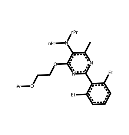 CCCN(CCC)c1c(C)nc(-c2c(CC)cccc2CC)nc1OCCOC(C)C